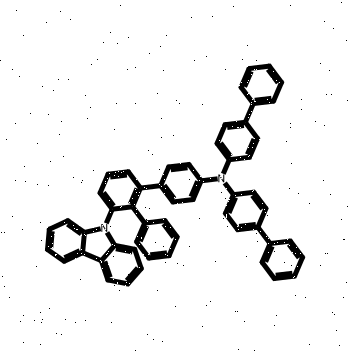 c1ccc(-c2ccc(N(c3ccc(-c4ccccc4)cc3)c3ccc(-c4cccc(-n5c6ccccc6c6ccccc65)c4-c4ccccc4)cc3)cc2)cc1